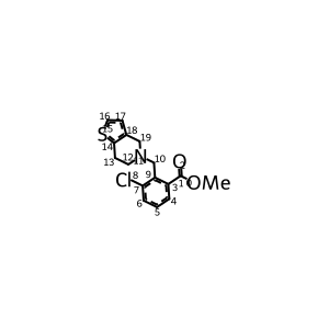 COC(=O)c1cccc(Cl)c1CN1CCc2sccc2C1